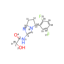 C[C@@H](O)C(=O)Nc1cn2c(n1)CCC2c1cc(F)ccc1F